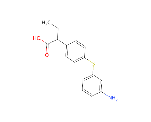 CCC(C(=O)O)c1ccc(Sc2cccc(N)c2)cc1